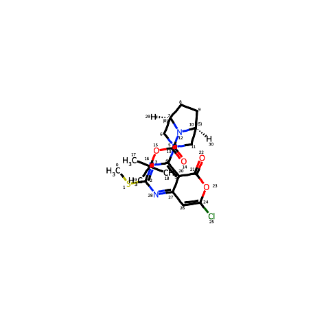 CSc1nc(N2C[C@H]3CC[C@@H](C2)N3C(=O)OC(C)(C)C)c2c(=O)oc(Cl)cc2n1